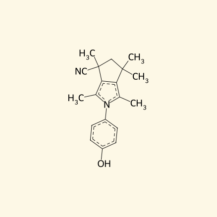 Cc1c2c(c(C)n1-c1ccc(O)cc1)C(C)(C#N)CC2(C)C